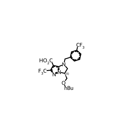 CCCCOC[C@@H]1CN(Cc2cccc(C(F)(F)F)c2)c2c(C(=O)O)c(C(F)(F)F)nn21